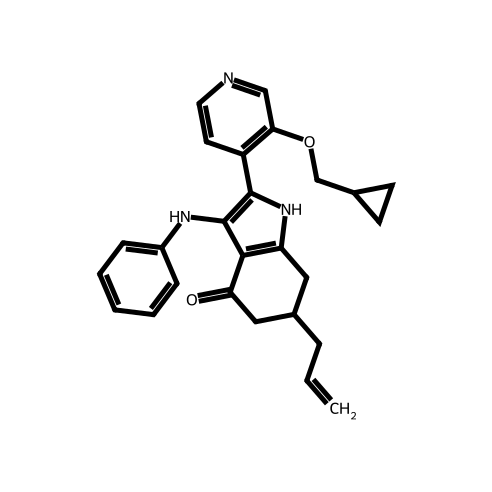 C=CCC1CC(=O)c2c([nH]c(-c3ccncc3OCC3CC3)c2Nc2ccccc2)C1